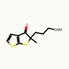 COCCCC1(C)Sc2sccc2C1=O